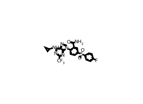 NC(=O)c1cc(S(=O)(=O)c2ccc(F)cc2)ccc1-n1cnc2c(NC3CC3)nc(C(F)(F)F)nc21